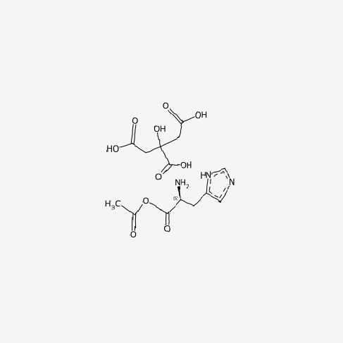 CC(=O)OC(=O)[C@@H](N)Cc1cnc[nH]1.O=C(O)CC(O)(CC(=O)O)C(=O)O